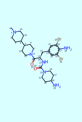 CN1CCC(C2CCN(C(=O)[C@@H](Cc3cc(Br)c(N)c(Br)c3)NC(=O)N3CCC(N)CC3)CC2)CC1